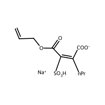 C=CCOC(=O)/C(=C(/CCC)C(=O)[O-])S(=O)(=O)O.[Na+]